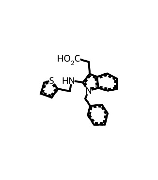 O=C(O)Cc1c(NCc2cccs2)n(Cc2ccccc2)c2ccccc12